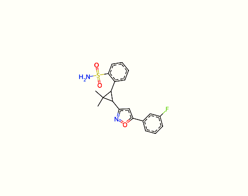 CC1(C)C(c2cc(-c3cccc(F)c3)on2)C1c1ccccc1S(N)(=O)=O